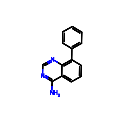 Nc1ncnc2c(-c3ccccc3)cccc12